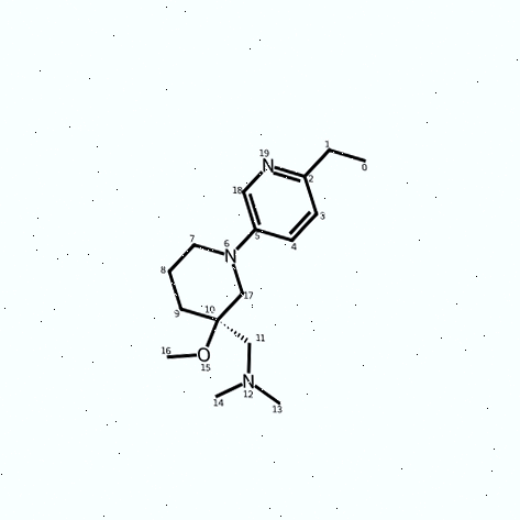 CCc1ccc(N2CCC[C@](CN(C)C)(OC)C2)cn1